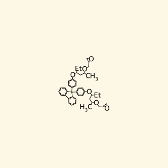 CCC(CC(C)OCC1CO1)Oc1ccc(C2(c3ccc(OC(CC)CC(C)OCC4CO4)cc3)c3ccccc3-c3ccccc32)cc1